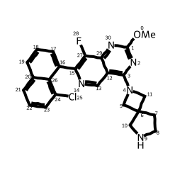 COc1nc(N2CC3(CCNC3)C2)c2cnc(-c3cccc4cccc(Cl)c34)c(F)c2n1